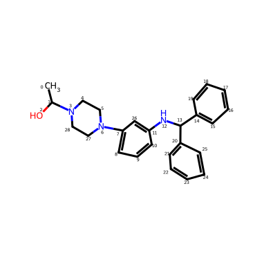 CC(O)N1CCN(c2cccc(NC(c3ccccc3)c3ccccc3)c2)CC1